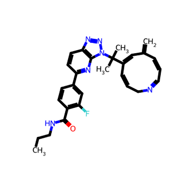 C=C1/C=C\C=N/C/C=C\C(C(C)(C)n2nnc3ccc(-c4ccc(C(=O)NCCC)c(F)c4)nc32)=C/1